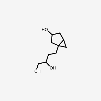 OCC(O)CCC12CC(O)CC1C2